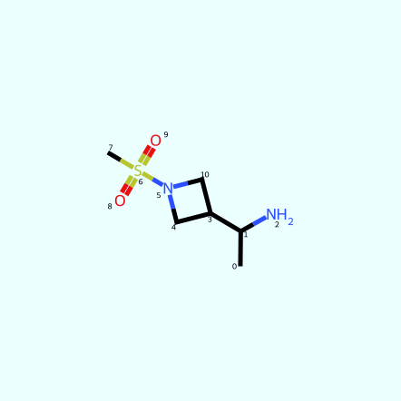 CC(N)C1CN(S(C)(=O)=O)C1